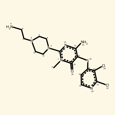 Cn1c(N2CCN(CCN)CC2)nc(N)c(Sc2ccnc(Cl)c2Cl)c1=O